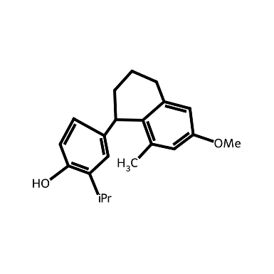 COc1cc(C)c2c(c1)CCCC2c1ccc(O)c(C(C)C)c1